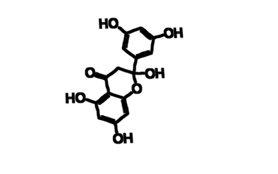 O=C1CC(O)(c2cc(O)cc(O)c2)Oc2cc(O)cc(O)c21